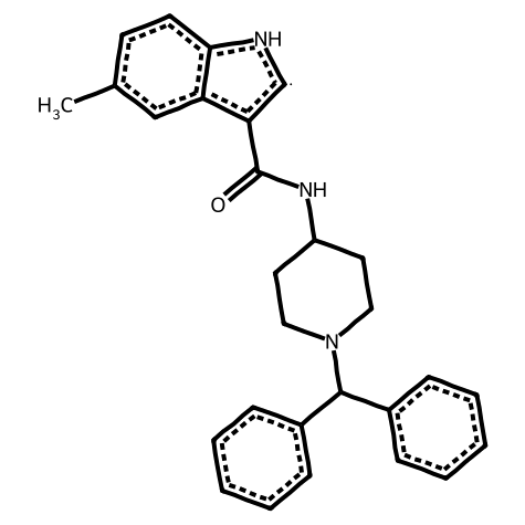 Cc1ccc2[nH][c]c(C(=O)NC3CCN(C(c4ccccc4)c4ccccc4)CC3)c2c1